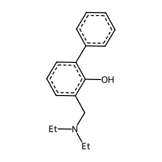 CCN(CC)Cc1cccc(-c2ccccc2)c1O